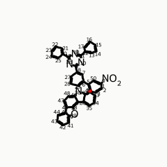 O=[N+]([O-])c1cccc(-c2cc(-c3nc(-c4ccccc4)nc(-c4ccccc4)n3)ccc2-n2c3ccccc3c3c4oc5ccccc5c4ccc32)c1